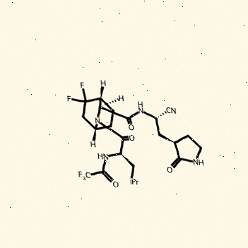 CC(C)C[C@@H](NC(=O)C(F)(F)F)C(=O)N1[C@@H]2CC[C@H]([C@H]1C(=O)N[C@H](C#N)C[C@H]1CCNC1=O)C(F)(F)C2